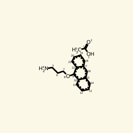 CC(=O)O.NCCCOc1c2ccccc2cc2ccccc12